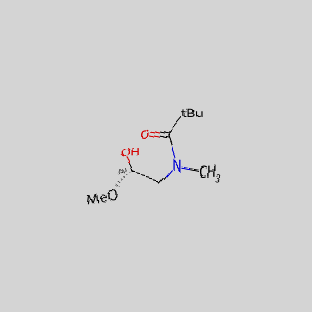 CO[C@H](O)CN(C)C(=O)C(C)(C)C